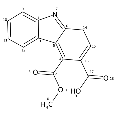 COC(=O)C1=C2C(=Nc3ccccc32)CC=C1C(=O)O